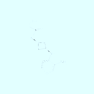 CC(C)(C)OC(=O)N[C@H]1C[C@@H](Nc2ccccc2N)C1